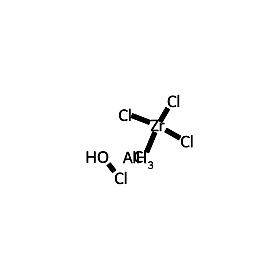 OCl.[AlH3].[Cl][Zr]([Cl])([Cl])[Cl]